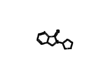 O=C1C2[C]=CC=CC2CN1C1CCCC1